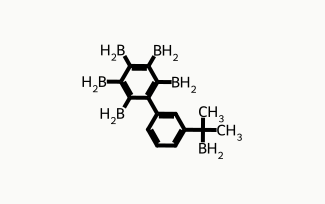 Bc1c(B)c(B)c(-c2cccc(C(B)(C)C)c2)c(B)c1B